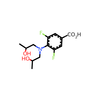 CC(O)CN(CC(C)O)c1c(F)cc(C(=O)O)cc1F